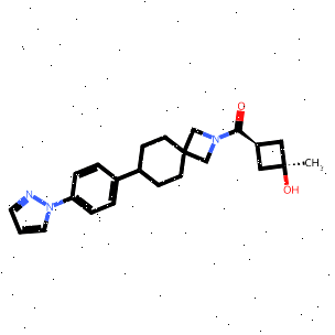 C[C@]1(O)C[C@@H](C(=O)N2CC3(CCC(c4ccc(-n5cccn5)cc4)CC3)C2)C1